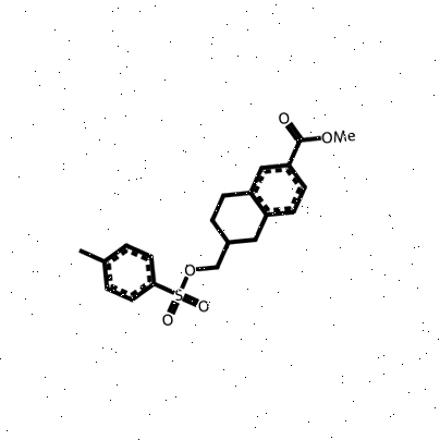 COC(=O)c1ccc2c(c1)CCC(COS(=O)(=O)c1ccc(C)cc1)C2